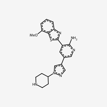 COc1cccc2nc(-c3cc(-c4cnn(C5CCNCC5)c4)cnc3N)sc12